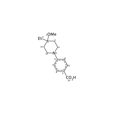 CCC1(OC)CCN(c2ccc(C(=O)O)cc2)CC1